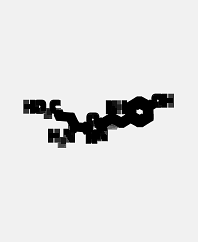 N[C@@H](CCC(=O)O)c1nnc([C@@H](N)Cc2ccc(O)cc2)o1